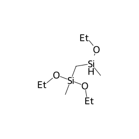 CCO[SiH](C)C[Si](C)(OCC)OCC